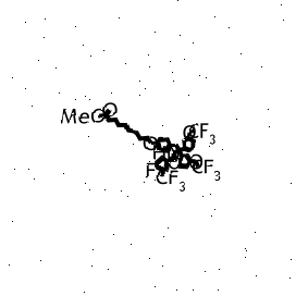 COC(=O)CCCCCCCCOc1ccc(CC(NC(=O)c2ccc(F)c(C(F)(F)F)c2)(c2cccc(OC(F)(F)F)c2)c2cccc(OC(F)(F)F)c2)cc1